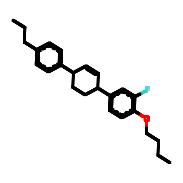 CCCCOc1ccc(C2C=CC(c3ccc(CCC)cc3)CC2)cc1F